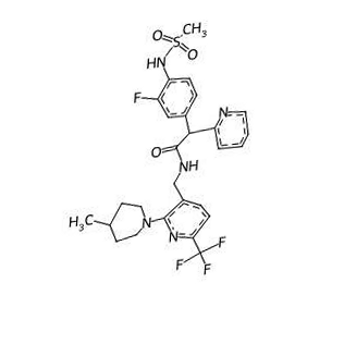 CC1CCN(c2nc(C(F)(F)F)ccc2CNC(=O)C(c2ccc(NS(C)(=O)=O)c(F)c2)c2ccccn2)CC1